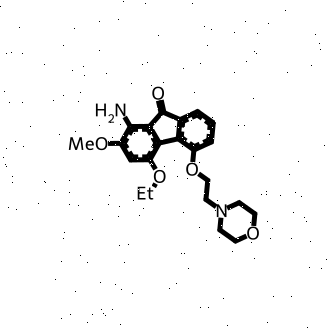 CCOc1cc(OC)c(N)c2c1-c1c(OCCN3CCOCC3)cccc1C2=O